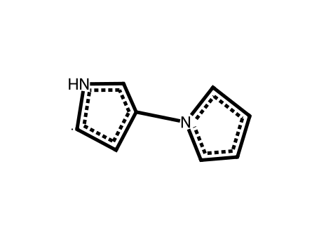 [c]1cc(-n2cccc2)c[nH]1